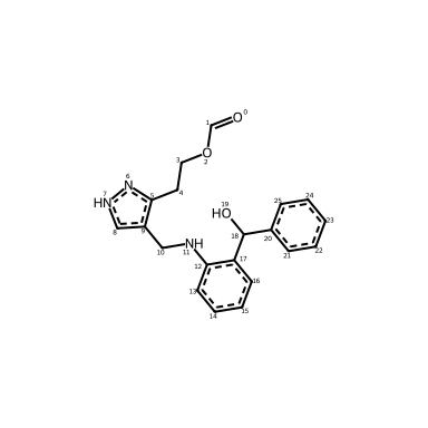 O=COCCc1n[nH]cc1CNc1ccccc1C(O)c1ccccc1